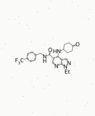 CCn1ncc2c(NC3CCC(=O)CC3)c(C(=O)NCc3ccc(C(F)(F)F)cc3)cnc21